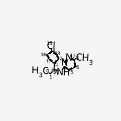 CC[C@H](Nc1ccc(C)nn1)c1ccc(Cl)cc1